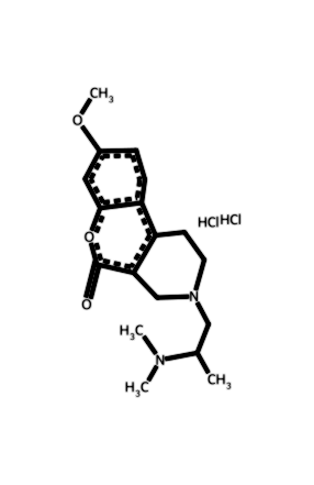 COc1ccc2c3c(c(=O)oc2c1)CN(CC(C)N(C)C)CC3.Cl.Cl